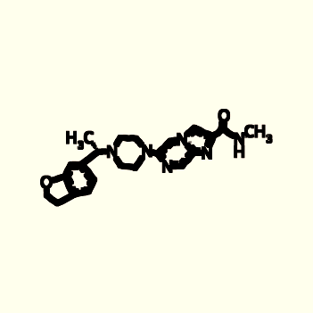 CNC(=O)c1cn2cc(N3CCN([C@@H](C)c4ccc5c(c4)OCC5)CC3)ncc2n1